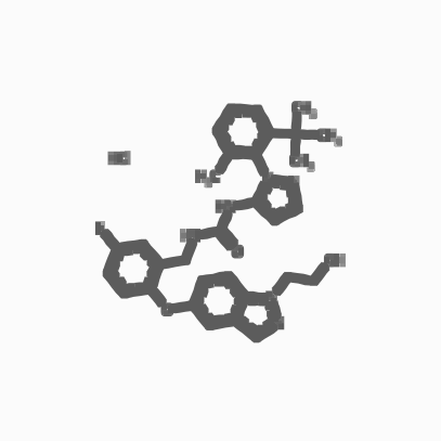 Cc1cccc(C(C)(C)C)c1-n1nccc1NC(=O)NCc1cc(F)ccc1Oc1ccc2c(cnn2CCO)c1.Cl